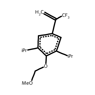 C=C(c1cc(C(C)C)c(OCOC)c(C(C)C)c1)C(F)(F)F